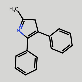 CC1=NC(c2ccccc2)=C(c2ccccc2)C1